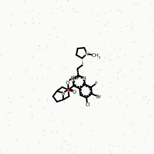 CN1CCC[C@H]1CCc1nc(N2CC3CCC(C2)N3C(=O)OC(C)(C)C)c2cc(Cl)c(Br)c(F)c2n1